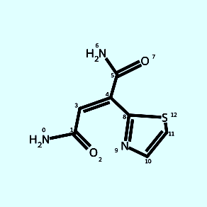 NC(=O)/C=C(/C(N)=O)c1nccs1